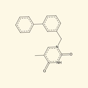 Cc1cn(Cc2cccc(-c3ccccc3)c2)c(=O)[nH]c1=O